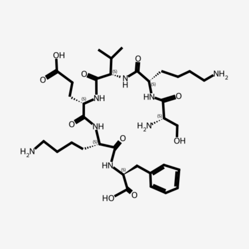 CC(C)[C@H](NC(=O)[C@H](CCCCN)NC(=O)[C@@H](N)CO)C(=O)N[C@@H](CCC(=O)O)C(=O)N[C@@H](CCCCN)C(=O)N[C@@H](Cc1ccccc1)C(=O)O